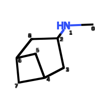 CNC1CC2CC(C2)C1